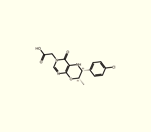 C[C@@H]1Oc2ncn(CC(=O)O)c(=O)c2N[C@@H]1c1ccc(Cl)cc1